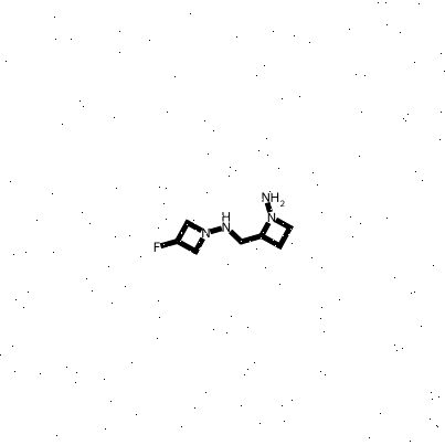 NN1CCC1CNN1CC(F)C1